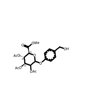 COC(=O)[C@H]1OC(Oc2ccc(CO)cc2)C(OC(C)=O)[C@@H](OC(C)=O)[C@@H]1OC(C)=O